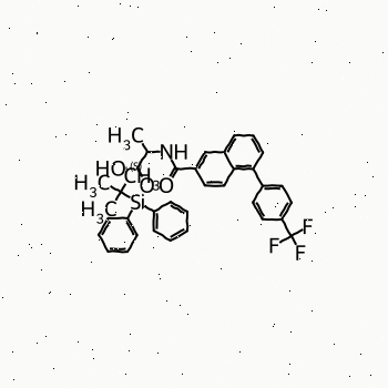 CC(NC(=O)c1ccc2c(-c3ccc(C(F)(F)F)cc3)cccc2c1)[C@@H](O)O[Si](c1ccccc1)(c1ccccc1)C(C)(C)C